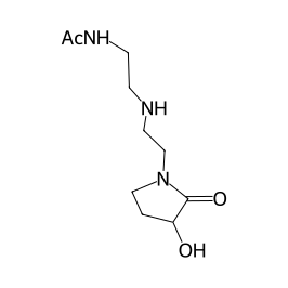 CC(=O)NCCNCCN1CCC(O)C1=O